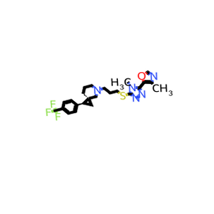 Cc1ncoc1-c1nnc(SCCCN2CCC[C@@]3(C[C@H]3c3ccc(C(F)(F)F)cc3)C2)n1C